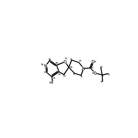 CC(C)(C)OC(=O)N1CCC2(CC1)Cc1c(F)cncc1O2